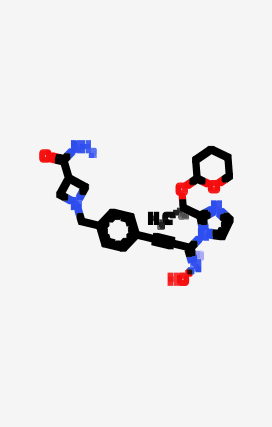 C[C@H](OC1CCCCO1)c1nccn1/C(C#Cc1ccc(CN2CC(C(N)=O)C2)cc1)=N/O